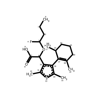 CCCC(F)OC(C(=O)O)c1c(C)sc(C)c1C1=C(C)CCCC1C